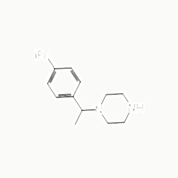 CC(C)c1ccc(C(C)N2CCNCC2)cc1